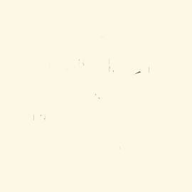 CCOn1c(N[C@@H](C)c2ccc(C(F)(F)F)cc2)nc2c(c1=O)CNCC2